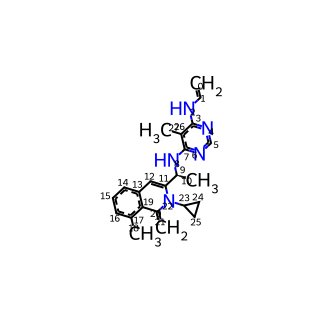 C=CNc1ncnc(N[C@@H](C)C2=Cc3cccc(C)c3C(=C)N2C2CC2)c1C